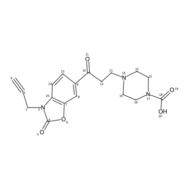 C#CCn1c(=O)oc2cc(C(=O)CCN3CCN(C(=O)O)CC3)ccc21